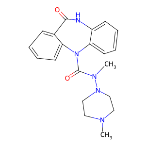 CN1CCN(N(C)C(=O)N2c3ccccc3NC(=O)c3ccccc32)CC1